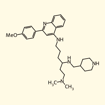 COc1ccc(-c2cc(NCCCC(CCN(C)C)NCC3CCNCC3)c3ccccc3n2)cc1